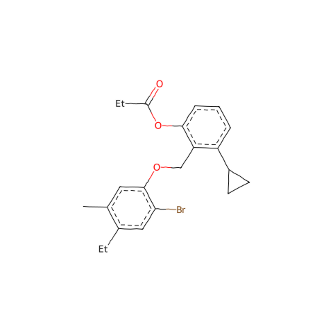 CCC(=O)Oc1cccc(C2CC2)c1COc1cc(C)c(CC)cc1Br